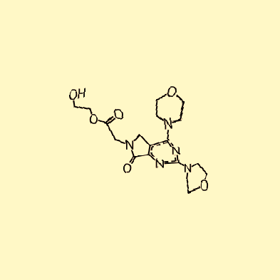 O=C(CN1Cc2c(nc(N3CCOCC3)nc2N2CCOCC2)C1=O)OCCO